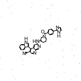 N#Cc1cnc2cnc(N[C@H]3CCCN(C(=O)c4ccc(-c5ncc[nH]5)cc4)C3)cc2c1-c1c[nH]c2ccccc12